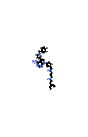 C=C/C(=C\C)CCNCCCNCC1CCC(n2cc(-c3ccn(Cc4ccccc4)n3)c3c(N)ncnc32)C1